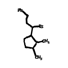 CCC(CCC(C)C)C1CCC(C)P1C